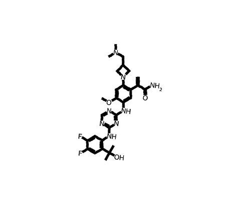 C=C(C(N)=O)c1cc(Nc2ncnc(Nc3cc(F)c(F)cc3C(C)(C)O)n2)c(OC)cc1N1CC(CN(C)C)C1